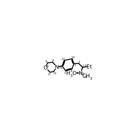 CCC(Cc1ccc(N2CCOCC2)cc1)N(C)C